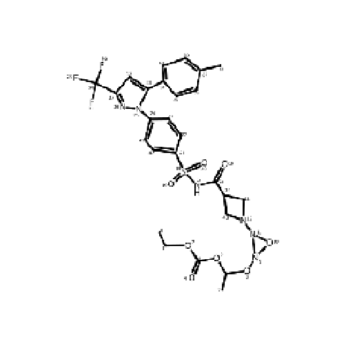 CCOC(=O)OC(C)On1on1N1CC(C(=O)NS(=O)(=O)c2ccc(-n3nc(C(F)(F)F)cc3-c3ccc(C)cc3)cc2)C1